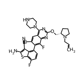 C=CCN1CCC[C@H]1COc1nc(N2CCNCC2)c2cc(Cl)c(-c3ccc(F)c4sc(N)c(C#N)c34)c(F)c2n1